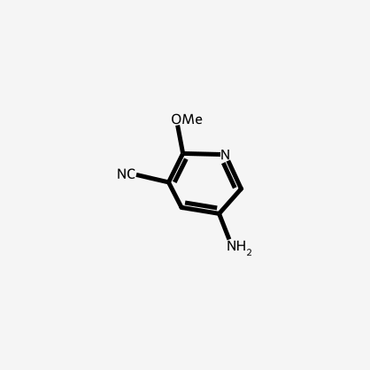 COc1ncc(N)cc1C#N